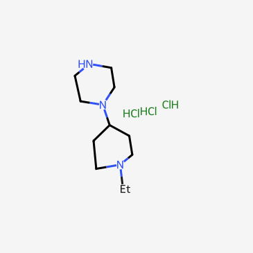 CCN1CCC(N2CCNCC2)CC1.Cl.Cl.Cl